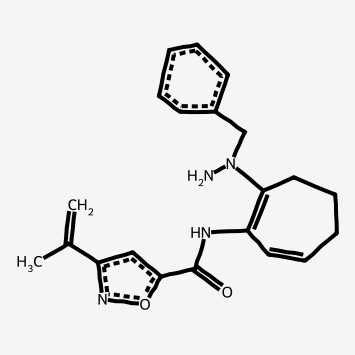 C=C(C)c1cc(C(=O)NC2=C(N(N)Cc3ccccc3)CCCC=C2)on1